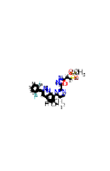 CC1(C)[C@H]2CC[C@]1(c1ccnc(-c3nnc(CCS(C)(=O)=O)o3)n1)c1nnc(-c3c(F)cccc3F)cc12